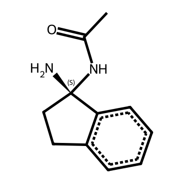 CC(=O)N[C@@]1(N)CCc2ccccc21